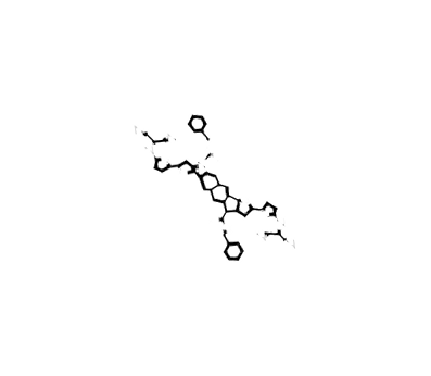 N#CC(C#N)=Nc1ccc(-c2cc3c(s2)C2=CC4C=c5c(c6sc(-c7ccc(N=C(C#N)C#N)s7)cc6n5C(=O)OCc5ccccc5)=CC4C=C2C3C(=O)OCc2ccccc2)s1